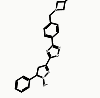 CCCN1N=C(c2nc(-c3ccc(CN4CC(C(=O)O)C4)cc3)no2)CC1c1ccccc1